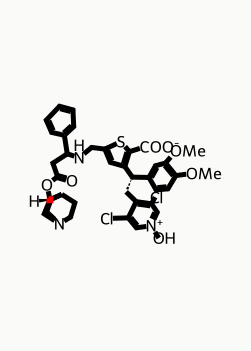 COc1ccc([C@H](Cc2c(Cl)c[n+](O)cc2Cl)c2cc(CNC(CC(=O)O[C@H]3CN4CCC3CC4)c3ccccc3)sc2C(=O)[O-])cc1OC